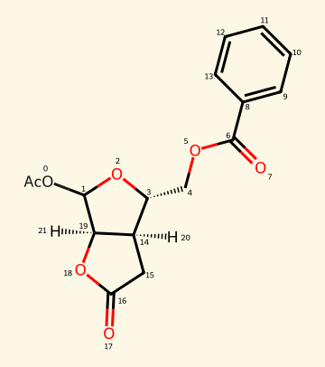 CC(=O)OC1O[C@H](COC(=O)c2ccccc2)[C@H]2CC(=O)O[C@@H]12